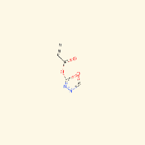 C=CC(=O)Oc1nnco1